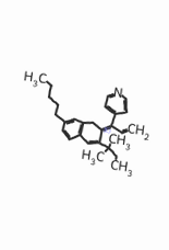 C=C/C(=C1/Cc2cc(CCCCC)ccc2C=C1C(C)(C)CC)c1ccncc1